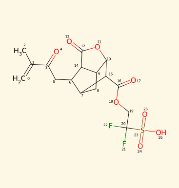 C=C(C)C(=O)CC1C2CC3C(OC(=O)C13)C2C(=O)OCC(F)(F)S(=O)(=O)O